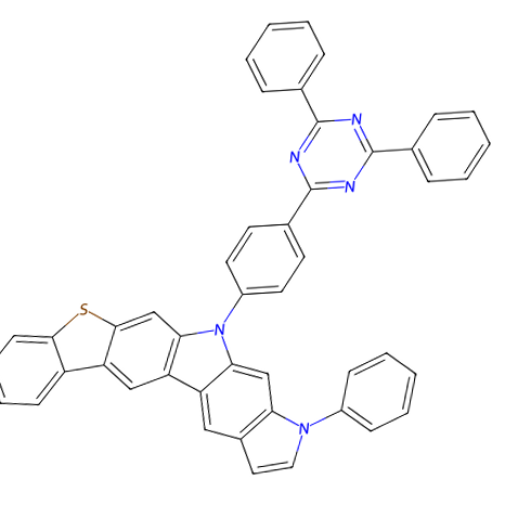 c1ccc(-c2nc(-c3ccccc3)nc(-c3ccc(-n4c5cc6sc7ccccc7c6cc5c5cc6ccn(-c7ccccc7)c6cc54)cc3)n2)cc1